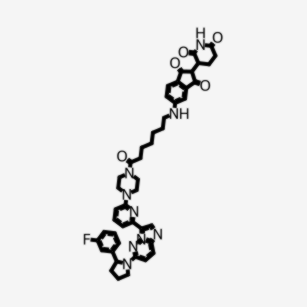 O=C1CCC(C2C(=O)c3ccc(NCCCCCCC(=O)N4CCN(c5cccc(-c6cnc7ccc(N8CCCC8c8cccc(F)c8)nn67)n5)CC4)cc3C2=O)C(=O)N1